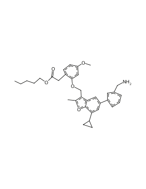 CCCCCOC(=O)Cc1ccc(OC)cc1OCc1c(C)oc2c(C3CC3)cc(-c3cccc(CN)c3)cc12